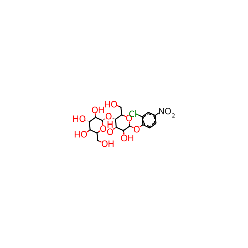 O=[N+]([O-])c1ccc(O[C@@H]2OC(CO)[C@@H](O[C@@H]3OC(CO)[C@@H](O)[C@H](O)C3O)[C@H](O)C2O)c(Cl)c1